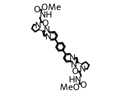 COC(=O)NCC(=O)N1CCC[C@@H]1c1cn2cc(-c3ccc(-c4ccc5nc([C@H]6CCCN6C(=O)CNC(=O)OC)cn5c4)cc3)ccc2n1